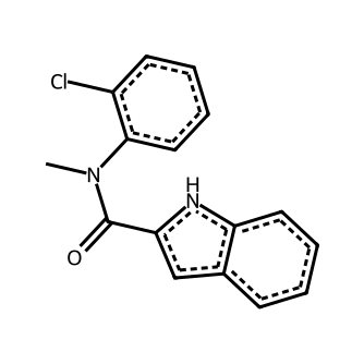 CN(C(=O)c1cc2ccccc2[nH]1)c1ccccc1Cl